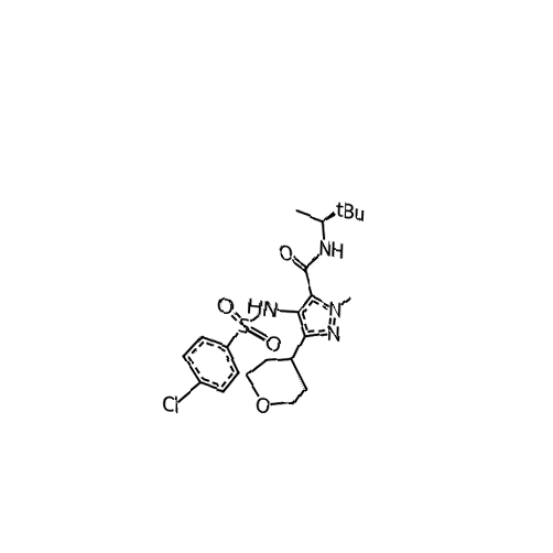 C[C@H](NC(=O)c1c(NS(=O)(=O)c2ccc(Cl)cc2)c(C2CCOCC2)nn1C)C(C)(C)C